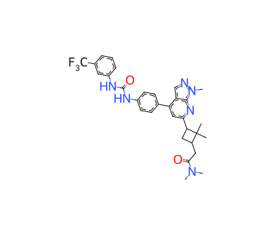 CN(C)C(=O)CC1CC(c2cc(-c3ccc(NC(=O)Nc4cccc(C(F)(F)F)c4)cc3)c3cnn(C)c3n2)C1(C)C